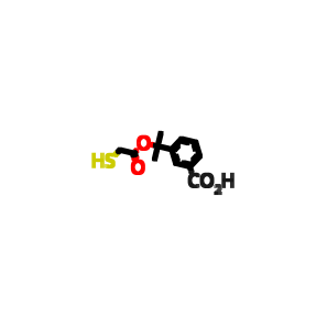 CC(C)(OC(=O)CS)c1cccc(C(=O)O)c1